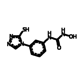 O=C(NO)Nc1cccc(-n2cnnc2S)c1